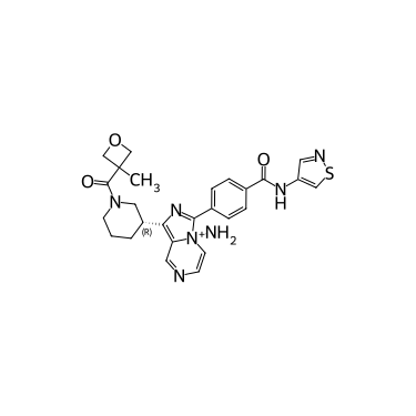 CC1(C(=O)N2CCC[C@@H](C3=C4C=NC=C[N+]4(N)C(c4ccc(C(=O)Nc5cnsc5)cc4)=N3)C2)COC1